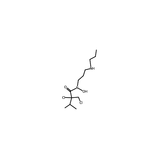 CCCNCCCN(O)C(=O)C(Cl)(CCl)C(C)C